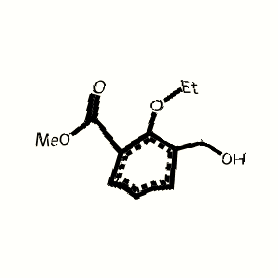 CCOc1c([CH]O)cccc1C(=O)OC